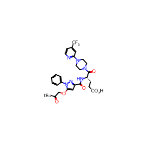 CC(C)(C)C(=O)COc1cc(C(=O)N[C@@H](CCC(=O)O)C(=O)N2CCN(c3cc(C(F)(F)F)ccn3)CC2)nn1-c1ccccc1